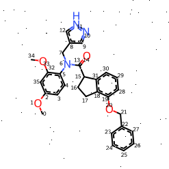 COc1ccc(N(Cc2cn[nH]c2)C(=O)C2CCc3c(OCc4ccccc4)cccc32)c(OC)c1